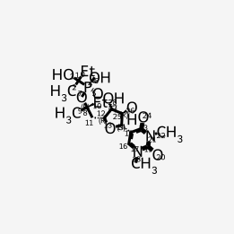 CCC(C)(O)P(=O)(O)O[C@](C)(CC)C[C@H]1O[C@@H](c2cn(C)c(=O)n(C)c2=O)[C@H](O)[C@@H]1O